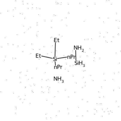 CCC[Si](CC)(CC)CCC.N.N[SiH3]